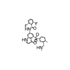 CNCc1cc(S(=O)(=O)c2cc(NC(=O)c3c(F)cccc3F)cc3[nH]ccc(=O)c23)ccc1C